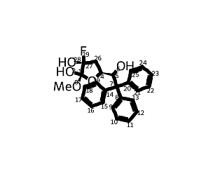 CO[C@]1(O)O[C@H](C(O)C(c2ccccc2)(c2ccccc2)c2ccccc2)C[C@@]1(O)F